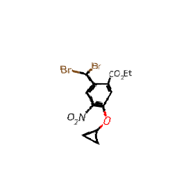 CCOC(=O)c1cc(OC2CC2)c([N+](=O)[O-])cc1C(Br)Br